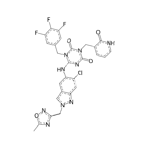 Cc1nc(Cn2cc3cc(Nc4nc(=O)n(Cc5ccc[nH]c5=O)c(=O)n4Cc4cc(F)c(F)c(F)c4)c(Cl)cc3n2)no1